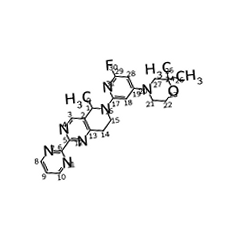 CC1c2cnc(-c3ncccn3)nc2CCN1c1cc(N2CCOC(C)(C)C2)cc(F)n1